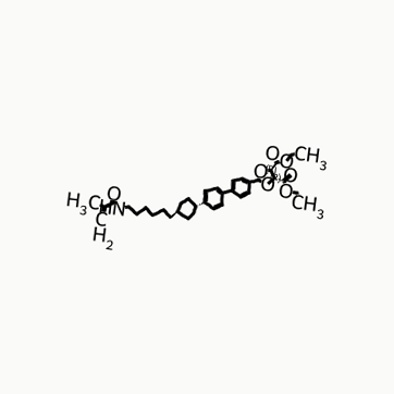 C=C(C)C(=O)NCCCCCC[C@H]1CC[C@H](c2ccc(-c3ccc(C4O[C@@H](C(=O)OCC)[C@H](C(=O)OCC)O4)cc3)cc2)CC1